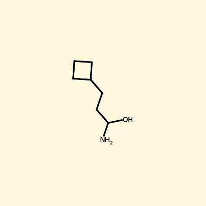 NC(O)CCC1CCC1